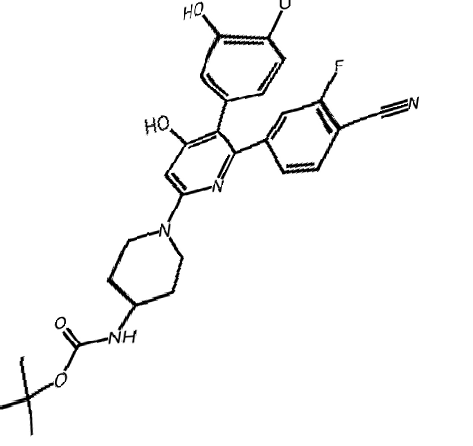 COc1ccc(-c2c(O)cc(N3CCC(NC(=O)OC(C)(C)C)CC3)nc2-c2ccc(C#N)c(F)c2)cc1O